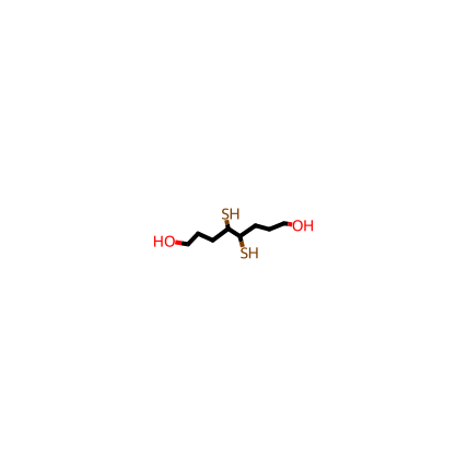 OCCCC(S)C(S)CCCO